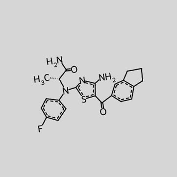 C[C@H](C(N)=O)N(c1ccc(F)cc1)c1nc(N)c(C(=O)c2ccc3c(c2)CCC3)s1